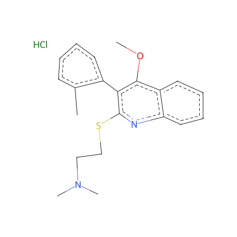 COc1c(-c2ccccc2C)c(SCCN(C)C)nc2ccccc12.Cl